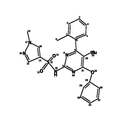 Cc1ccccc1-c1nc(NS(=O)(=O)c2cnn(C)c2)nc(Oc2ccccc2)c1C(C)(C)C